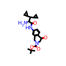 CC(C)(C)OC(=O)N1CC(=O)c2ccc(NC(=O)[C@@H](N)C(C3CC3)C3CC3)cc2C1